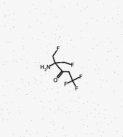 NC(CF)(CF)C(=O)CC(F)(F)F